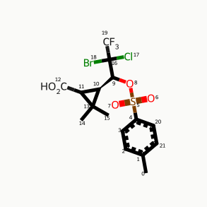 Cc1ccc(S(=O)(=O)OC([C@@H]2C(C(=O)O)C2(C)C)C(Cl)(Br)C(F)(F)F)cc1